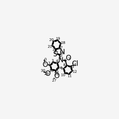 COc1cc(N(C(=O)c2ccccc2Cl)c2nc3ccccc3s2)cc(OC)c1OC